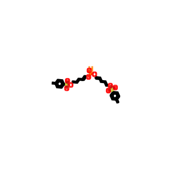 Cc1ccc(S(=O)(=O)OCCCC=CO[PH](=O)OC=CCCCOS(=O)(=O)c2ccc(C)cc2)cc1